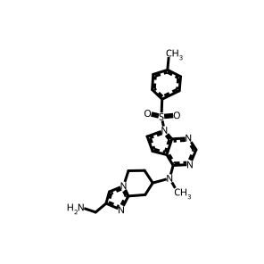 Cc1ccc(S(=O)(=O)n2ccc3c(N(C)C4CCn5cc(CN)nc5C4)ncnc32)cc1